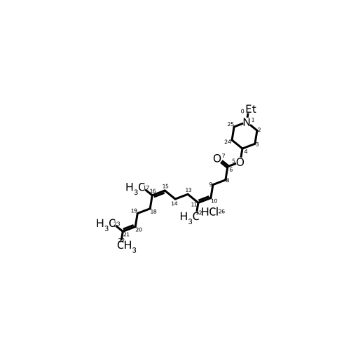 CCN1CCC(OC(=O)CCC=C(C)CCC=C(C)CCC=C(C)C)CC1.Cl